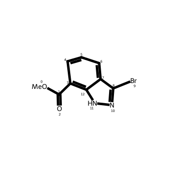 COC(=O)c1cccc2c(Br)n[nH]c12